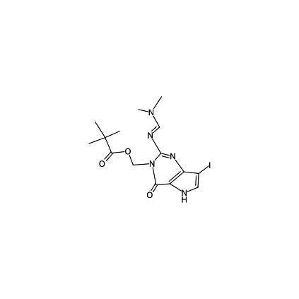 CN(C)C=Nc1nc2c(I)c[nH]c2c(=O)n1COC(=O)C(C)(C)C